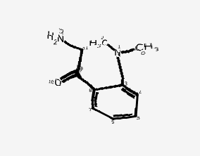 CN(C)c1ccccc1C(=O)CN